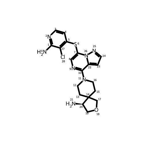 Nc1nccc(Sc2cnc(N3CCC4(CC3)COC[C@H]4N)c3ccnn23)c1Cl